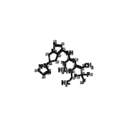 C=N/C(=N\C(NCC)=C(/C)C(F)(F)F)Nc1cnn2c1C[C@@H](n1nccn1)C2